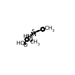 COc1cc(C(=O)O)ccc1NSc1csc(C#Cc2ccc(C)cc2)n1